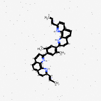 C/C=C/c1ccc2ccc3ccc(-c4cc(C)c(-c5ccc6ccc7ccc(/C=C/C)nc7c6n5)cc4C)nc3c2n1